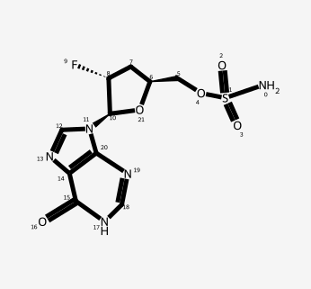 NS(=O)(=O)OC[C@@H]1C[C@@H](F)[C@H](n2cnc3c(=O)[nH]cnc32)O1